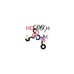 CC(=O)N(OCc1ccccc1)C1CC[N+](CCc2cccs2)(OC(=O)CC(O)(CC(=O)O)C(=O)[O-])CC1